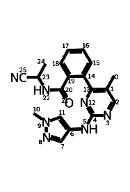 Cc1cnc(Nc2cnn(C)c2)nc1-c1ccccc1C(=O)NC(C)C#N